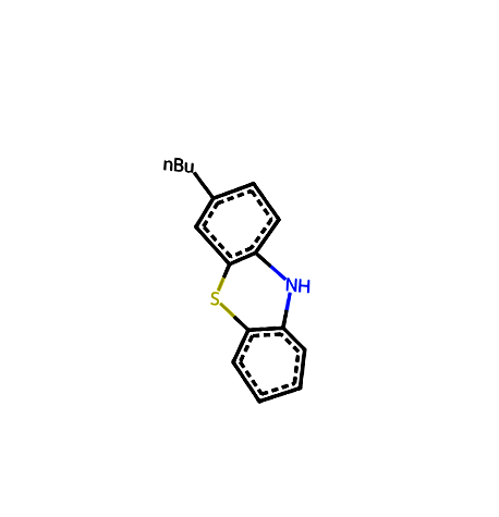 CCCCc1ccc2c(c1)Sc1ccccc1N2